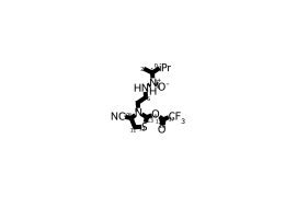 CC(C)C(C)[NH+]([O-])NCCN1C(C#N)CSC1OC(=O)C(F)(F)F